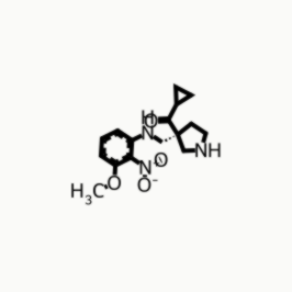 COc1cccc(NC[C@]2(C(=O)C3CC3)CCNC2)c1[N+](=O)[O-]